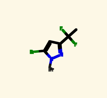 CC(C)n1nc(C(C)(F)F)cc1Br